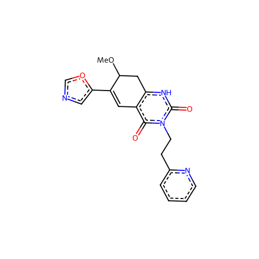 COC1Cc2[nH]c(=O)n(CCc3ccccn3)c(=O)c2C=C1c1cnco1